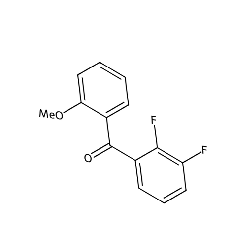 COc1ccccc1C(=O)c1cccc(F)c1F